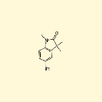 CC(C)c1ccc2c(c1)C(C)(C)C(=O)N2C